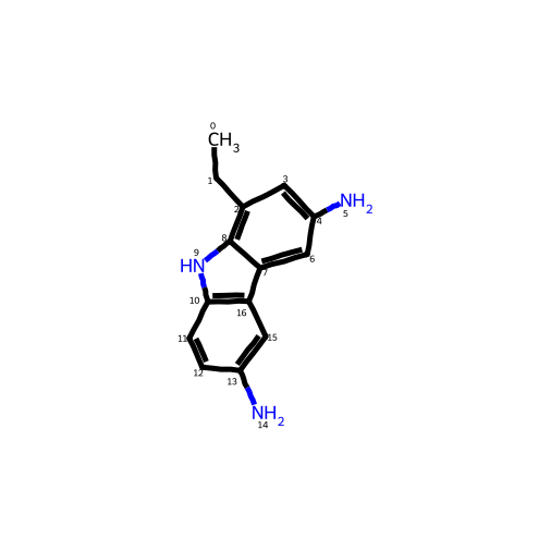 CCc1cc(N)cc2c1[nH]c1ccc(N)cc12